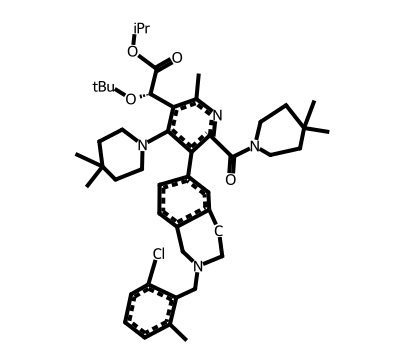 Cc1cccc(Cl)c1CN1CCc2cc(-c3c(C(=O)N4CCC(C)(C)CC4)nc(C)c([C@H](OC(C)(C)C)C(=O)OC(C)C)c3N3CCC(C)(C)CC3)ccc2C1